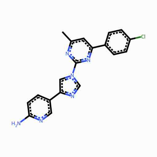 Cc1cc(-c2ccc(Cl)cc2)nc(-n2cnc(-c3ccc(N)nc3)c2)n1